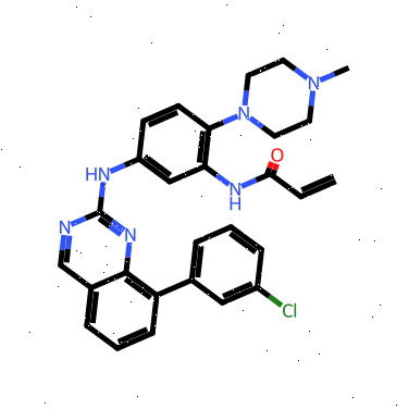 C=CC(=O)Nc1cc(Nc2ncc3cccc(-c4cccc(Cl)c4)c3n2)ccc1N1CCN(C)CC1